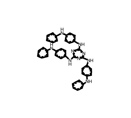 c1ccc(Nc2ccc(Nc3nc(Nc4ccc(Nc5ccccc5)cc4)nc(Nc4ccc(Nc5ccccc5)cc4)n3)cc2)cc1